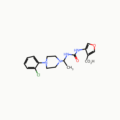 CC(NC(=O)Nc1cocc1C(=O)O)N1CCN(c2ccccc2Cl)CC1